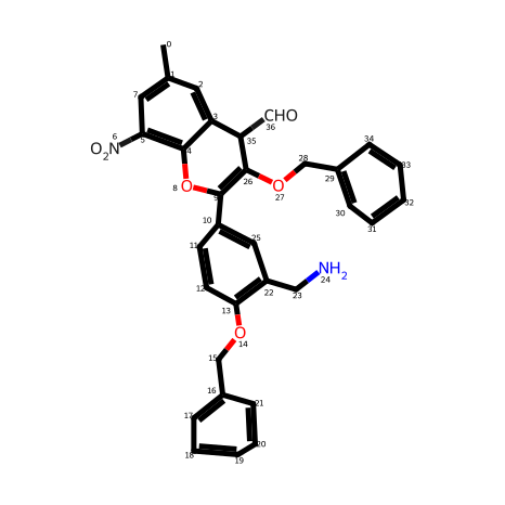 Cc1cc2c(c([N+](=O)[O-])c1)OC(c1ccc(OCc3ccccc3)c(CN)c1)=C(OCc1ccccc1)C2C=O